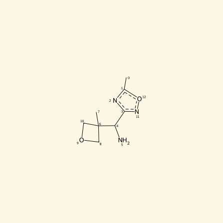 Cc1nc(C(N)C2(C)COC2)no1